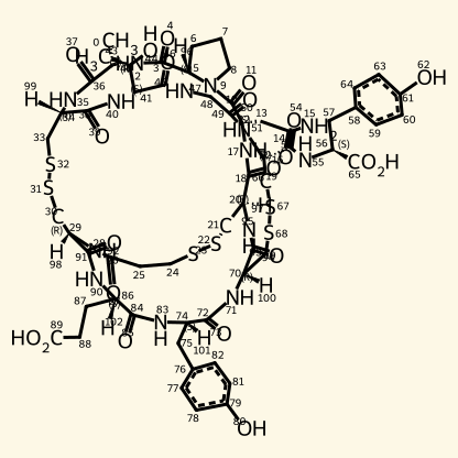 C[C@@H]1NC(=O)[C@@H]2CCCN2C(=O)[C@H](CC(N)=O)NC(=O)[C@@H]2CSSCCC(=O)N[C@H]3CSSC[C@H](NC1=O)C(=O)N[C@@H]([C@@H](C)O)C(=O)NCC(=O)N[C@H](C(=O)N[C@@H](Cc1ccc(O)cc1)C(=O)O)CSSC[C@H](NC(=O)[C@H](Cc1ccc(O)cc1)NC(=O)[C@H](CCC(=O)O)NC3=O)C(=O)N2